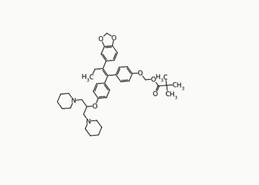 CCC(=C(c1ccc(OCOC(=O)C(C)(C)C)cc1)c1ccc(OC(CN2CCCCC2)CN2CCCCC2)cc1)c1ccc2c(c1)OCO2